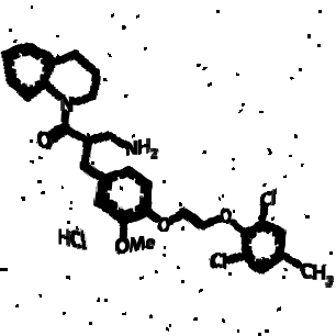 COc1cc(CC(CN)C(=O)N2CCCc3ccccc32)ccc1OCCOc1c(Cl)cc(C)cc1Cl.Cl